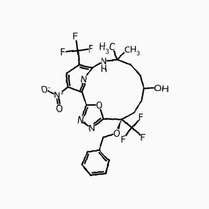 CC1(C)CCC(O)CC[C@](OCc2ccccc2)(C(F)(F)F)c2nnc(o2)-c2nc(c(C(F)(F)F)cc2[N+](=O)[O-])N1